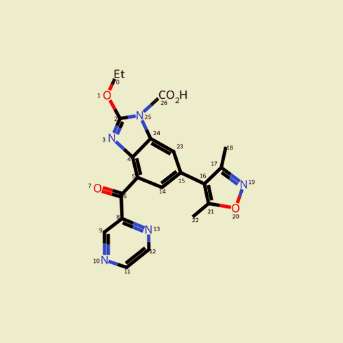 CCOc1nc2c(C(=O)c3cnccn3)cc(-c3c(C)noc3C)cc2n1C(=O)O